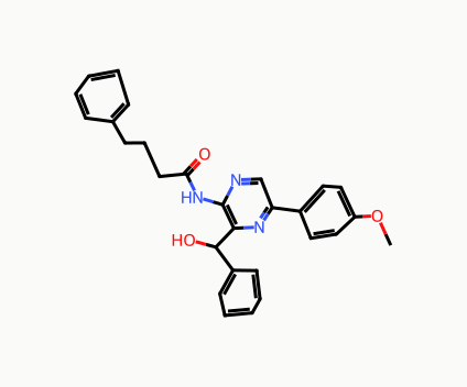 COc1ccc(-c2cnc(NC(=O)CCCc3ccccc3)c(C(O)c3ccccc3)n2)cc1